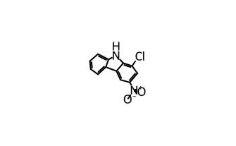 O=[N+]([O-])c1cc(Cl)c2[nH]c3ccccc3c2c1